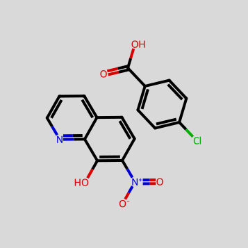 O=C(O)c1ccc(Cl)cc1.O=[N+]([O-])c1ccc2cccnc2c1O